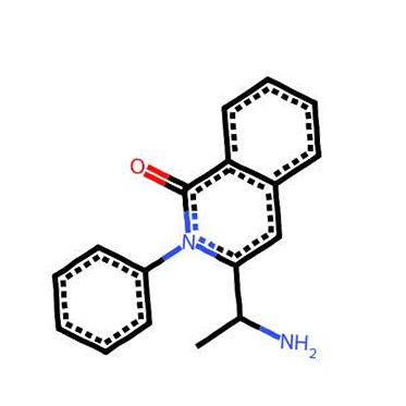 CC(N)c1cc2ccccc2c(=O)n1-c1ccccc1